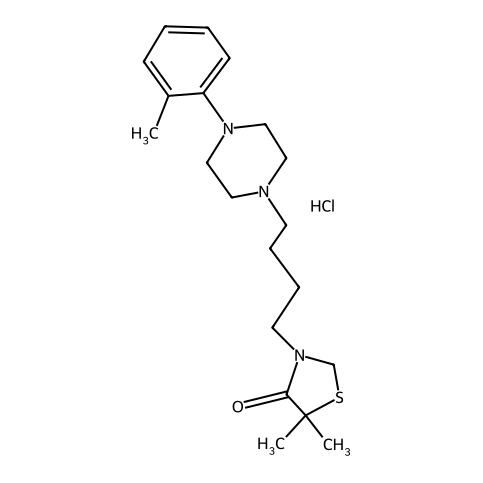 Cc1ccccc1N1CCN(CCCCN2CSC(C)(C)C2=O)CC1.Cl